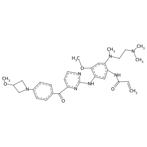 C=CC(=O)Nc1cc(Nc2nccc(C(=O)c3ccc(N4CC(OC)C4)cc3)n2)c(OC)cc1N(C)CCN(C)C